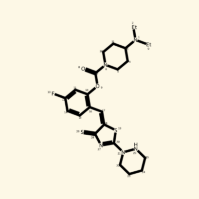 CCN(CC)C1CCN(C(=O)Oc2cc(F)ccc2C=C2SC(N3CCCCN3)=NC2=S)CC1